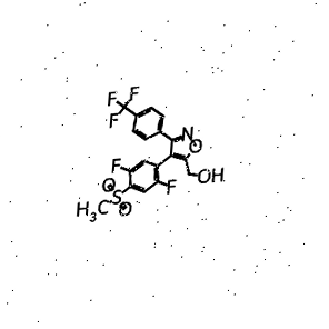 CS(=O)(=O)c1cc(F)c(-c2c(-c3ccc(C(F)(F)F)cc3)noc2CO)cc1F